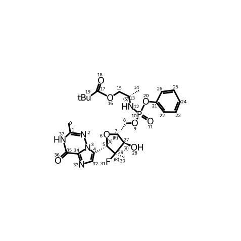 Cc1nn2c([C@@H]3O[C@H](COP(=O)(N[C@@H](C)COC(=O)C(C)(C)C)Oc4ccccc4)[C@@H](O)[C@@]3(C)F)cnc2c(=O)[nH]1